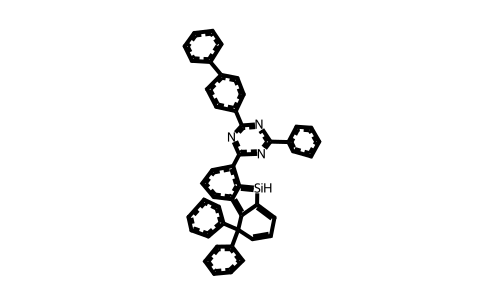 C1=CC(c2ccccc2)(c2ccccc2)C2=c3cccc(-c4nc(-c5ccccc5)nc(-c5ccc(-c6ccccc6)cc5)n4)c3=[SiH]C2=C1